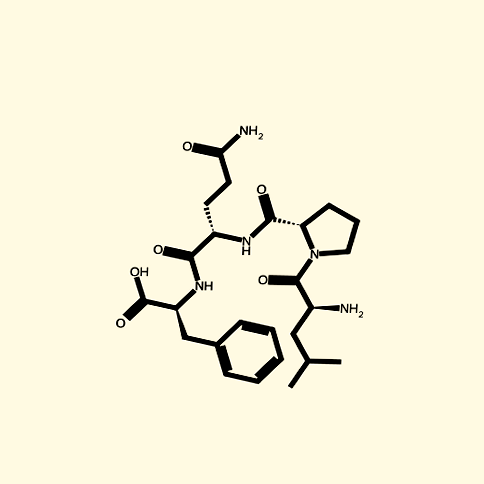 CC(C)C[C@H](N)C(=O)N1CCC[C@H]1C(=O)N[C@@H](CCC(N)=O)C(=O)N[C@@H](Cc1ccccc1)C(=O)O